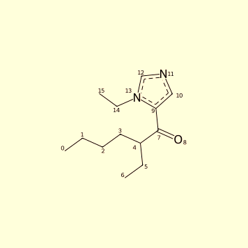 CCCCC(CC)C(=O)c1cncn1CC